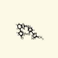 COc1cc(Nc2nc3c(s2)CCCC3c2ccc(Cl)cc2)ccc1-c1nc(C)c[nH]1